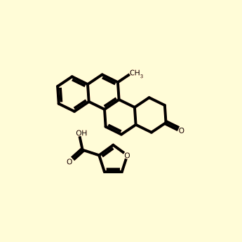 Cc1cc2ccccc2c2c1C1CCC(=O)CC1C=C2.O=C(O)c1ccoc1